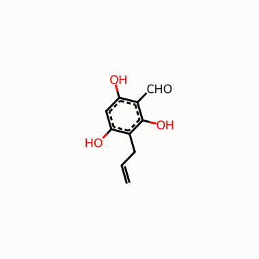 C=CCc1c(O)cc(O)c(C=O)c1O